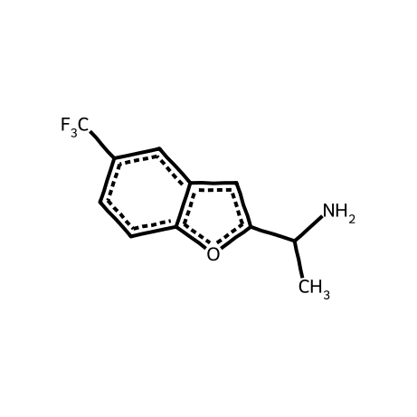 CC(N)c1cc2cc(C(F)(F)F)ccc2o1